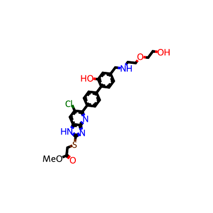 COC(=O)CSc1nc2nc(-c3ccc(-c4ccc(CNCCOCCO)cc4O)cc3)c(Cl)cc2[nH]1